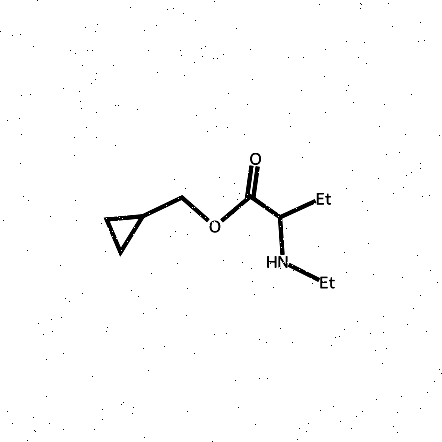 CCNC(CC)C(=O)OCC1CC1